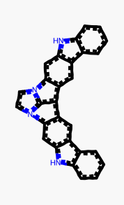 c1ccc2c(c1)[nH]c1cc3c(cc12)c1c2cc4c(cc2n2ccn3c12)[nH]c1ccccc14